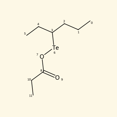 CCCC(CC)[Te]OC(=O)CC